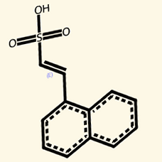 O=S(=O)(O)/C=C/c1cccc2ccccc12